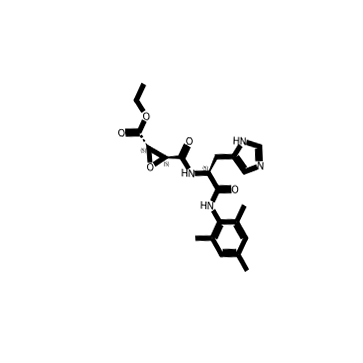 CCOC(=O)[C@H]1O[C@@H]1C(=O)N[C@@H](Cc1cnc[nH]1)C(=O)Nc1c(C)cc(C)cc1C